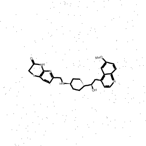 COc1ccc2nccc(C[C@@H](O)[C@H]3CC[C@H](NCc4ccc5c(n4)NC(=O)CS5)CC3)c2c1